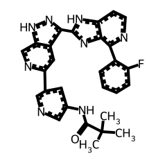 CC(C)(C)C(=O)Nc1cncc(-c2cc3c(-c4nc5c(-c6ccccc6F)nccc5[nH]4)n[nH]c3cn2)c1